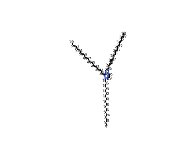 CCCCCCCCCCCCCCCCCCN1C=CN(CCCCCCCCCCCCCCCCC)C1CCCCCCCCCCCCCCCC